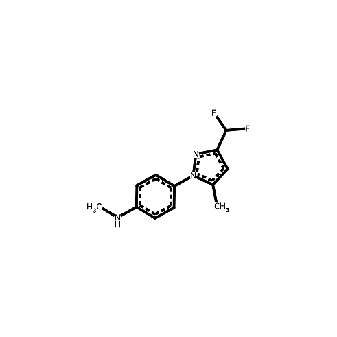 CNc1ccc(-n2nc(C(F)F)cc2C)cc1